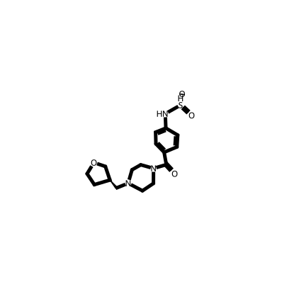 O=C(c1ccc(N[SH](=O)=O)cc1)N1CCN(C[C@H]2CCOC2)CC1